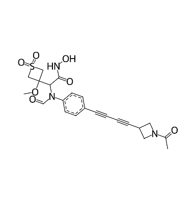 COC1(C(C(=O)NO)N(C=O)c2ccc(C#CC#CC3CN(C(C)=O)C3)cc2)CS(=O)(=O)C1